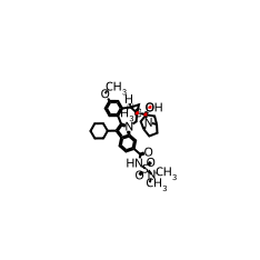 COc1ccc2c(c1)[C@@H]1C[C@]1(C(=O)N1C3CCC1CC(C)(O)C3)Cn1c-2c(C2CCCCC2)c2ccc(C(=O)NS(=O)(=O)N(C)C)cc21